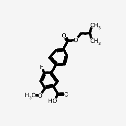 COc1cc(F)c(-c2ccc(C(=O)OCC(C)C)cc2)cc1C(=O)O